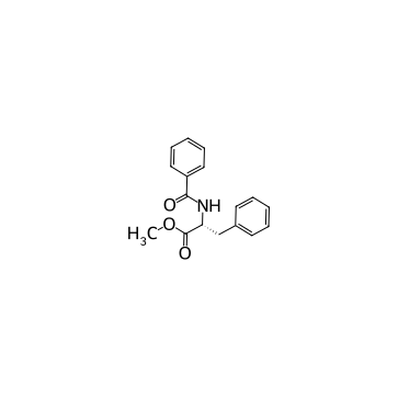 COC(=O)[C@@H](Cc1ccccc1)NC(=O)c1ccccc1